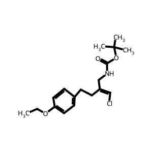 CCOc1ccc(CC/C(=C\Cl)CNC(=O)OC(C)(C)C)cc1